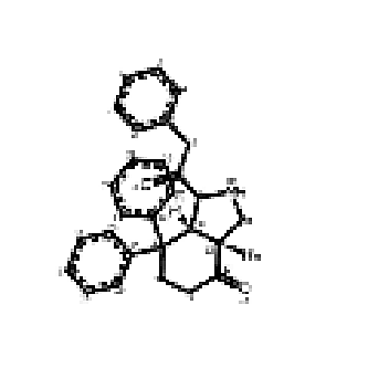 O=C(Cc1ccccc1)C1NC[C@@H]2C(=O)CCC(c3ccccc3)(c3ccccc3)[C@H]12